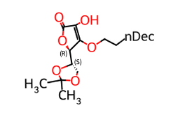 CCCCCCCCCCCCOC1=C(O)C(=O)O[C@@H]1[C@@H]1COC(C)(C)O1